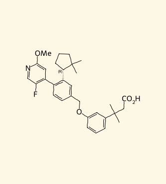 COc1cc(-c2ccc(COc3cccc(C(C)(C)CC(=O)O)c3)cc2[C@@H]2CCCC2(C)C)c(F)cn1